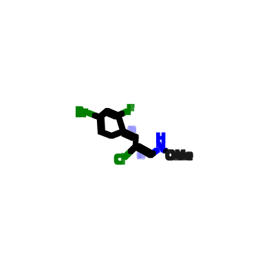 CON/C=C(Cl)\C=C1/CC=C(Br)C=C1F